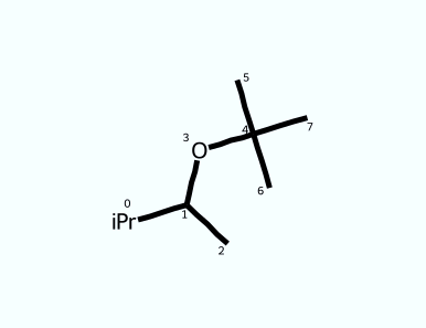 CC(C)C(C)OC(C)(C)C